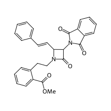 COC(=O)c1ccccc1CCN1C(=O)C(N2C(=O)c3ccccc3C2=O)C1C=Cc1ccccc1